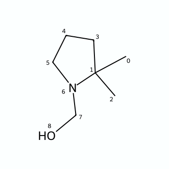 CC1(C)CCCN1CO